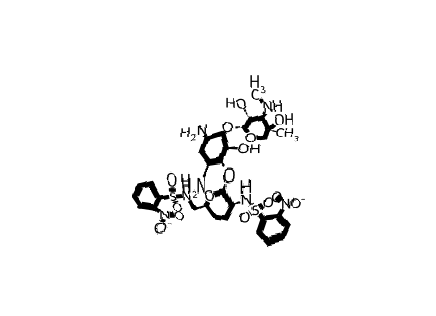 CN[C@@H]1[C@@H](O)[C@@H](O[C@@H]2[C@@H](O)[C@H](O[C@H]3O[C@H](CNS(=O)(=O)c4ccccc4[N+](=O)[O-])CC[C@H]3NS(=O)(=O)c3ccccc3[N+](=O)[O-])[C@@H](N)C[C@H]2N)OC[C@]1(C)O